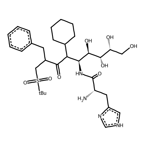 CC(C)(C)S(=O)(=O)CC(Cc1ccccc1)C(=O)C(C1CCCCC1)[C@H](NC(=O)[C@@H](N)Cc1c[nH]cn1)[C@@H](O)[C@@H](O)[C@H](O)CO